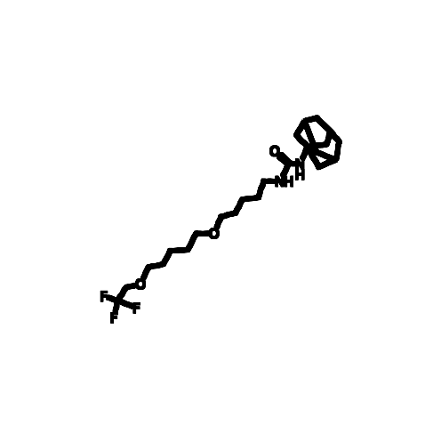 O=C(NCCCCCOCCCCCOCC(F)(F)F)NC12CC3CC(CC(C3)C1)C2